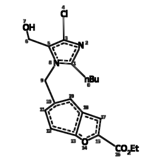 CCCCc1nc(Cl)c(CO)n1Cc1ccc2oc(C(=O)OCC)cc2c1